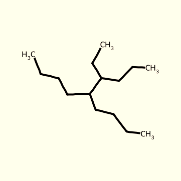 CCCCC(CCCC)C(CC)CCC